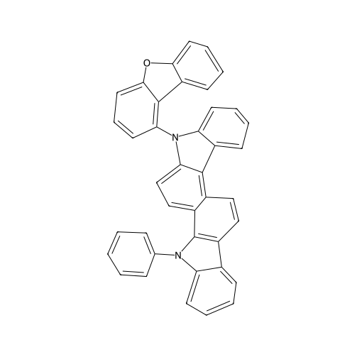 c1ccc(-n2c3ccccc3c3ccc4c(ccc5c4c4ccccc4n5-c4cccc5oc6ccccc6c45)c32)cc1